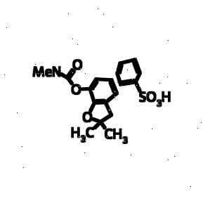 CNC(=O)Oc1cccc2c1OC(C)(C)C2.O=S(=O)(O)c1ccccc1